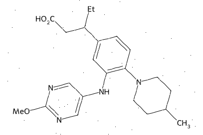 CCC(CC(=O)O)c1ccc(N2CCC(C)CC2)c(Nc2cnc(OC)nc2)c1